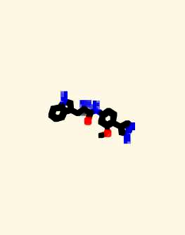 COc1cc(NC(=O)[C@H](N)Cc2c[nH]c3ccccc23)ccc1-c1cn[nH]c1